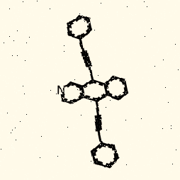 C(#Cc1c2ccccc2c(C#Cc2ccccc2)c2cnccc12)c1ccccc1